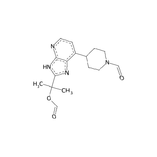 CC(C)(OC=O)c1nc2c(C3CCN(C=O)CC3)ccnc2[nH]1